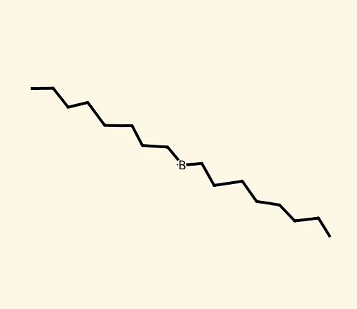 CCCCCCCC[B]CCCCCCCC